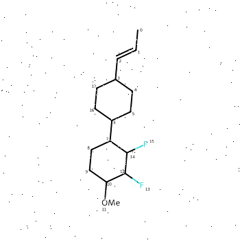 C/C=C/C1CCC(C2CCC(OC)C(F)C2F)CC1